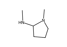 CNC1CCCN1C